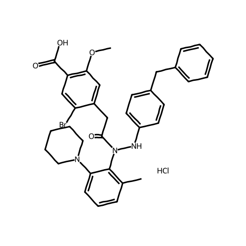 COc1cc(CC(=O)N(Nc2ccc(Cc3ccccc3)cc2)c2c(C)cccc2N2CCCCC2)c(Br)cc1C(=O)O.Cl